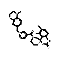 CN1CCOc2cc(Cn3cc(C(=O)N4CCC[C@@]5(C4)OC(=O)Nc4ccc(Cl)c(F)c45)cn3)ccc21